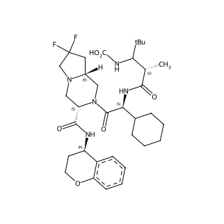 C[C@H](C(=O)N[C@H](C(=O)N1C[C@H]2CC(F)(F)CN2C[C@H]1C(=O)N[C@@H]1CCOc2ccccc21)C1CCCCC1)C(NC(=O)O)C(C)(C)C